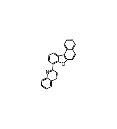 c1ccc2nc(-c3cccc4c3oc3ccc5ccccc5c34)ccc2c1